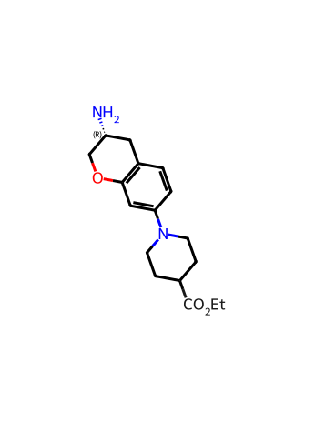 CCOC(=O)C1CCN(c2ccc3c(c2)OC[C@H](N)C3)CC1